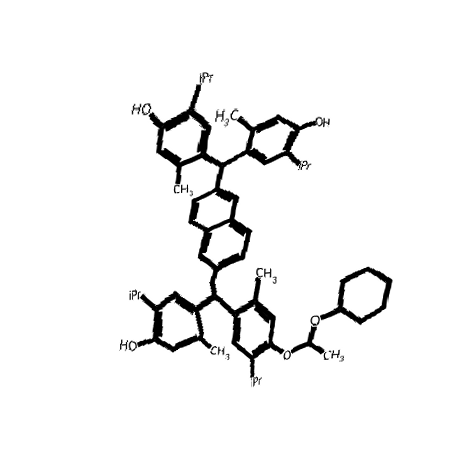 Cc1cc(O)c(C(C)C)cc1C(c1ccc2cc(C(c3cc(C(C)C)c(O)cc3C)c3cc(C(C)C)c(OC(C)OC4CCCCC4)cc3C)ccc2c1)c1cc(C(C)C)c(O)cc1C